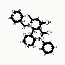 Cc1cc(=O)c(C(=O)Nc2ccccc2)c(-c2ccncc2)n1Cc1ccncc1